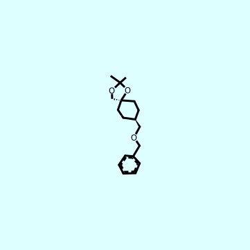 CC1(C)OC[C@]2(CC[C@H](COCc3ccccc3)CC2)O1